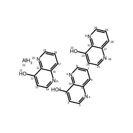 Oc1ccnc2cccnc12.Oc1ccnc2cccnc12.Oc1ccnc2cccnc12.[AlH3]